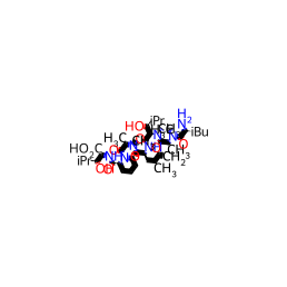 C=C[C@H](C)C[C@H](NC(=O)[C@H]([C@H](O)C(C)C)N(C)C(=O)[C@H](C)N(C)C(=O)C(N)[C@@H](C)CC)C(=O)N(C)[C@@H](C)C(=O)N1CCCC[C@@H]1C(=O)NC(C(=O)O)[C@H](O)C(C)C